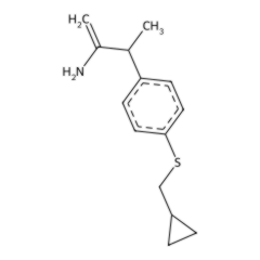 C=C(N)C(C)c1ccc(SCC2CC2)cc1